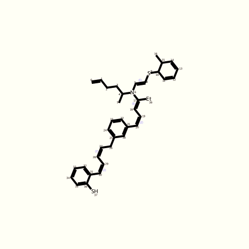 C=CCCC(C)N(/C=C/SC1C=CC=CC1C)/C(=C/C=C\c1cccc(C/C=C\C=C/c2ccccc2S)c1)CC